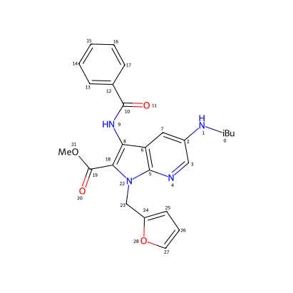 CCC(C)Nc1cnc2c(c1)c(NC(=O)c1ccccc1)c(C(=O)OC)n2Cc1ccco1